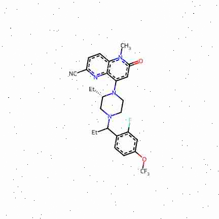 CCC(c1ccc(OC(F)(F)F)cc1F)N1CCN(c2cc(=O)n(C)c3ccc(C#N)nc23)[C@@H](CC)C1